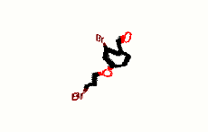 O=Cc1ccc(OCCCBr)cc1Br